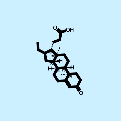 CCC1C[C@H]2[C@@H]3CCC4=CC(=O)CC[C@]4(C)[C@H]3CC[C@]2(C)[C@H]1CCC(=O)O